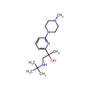 CN1CCN(c2cccc(C(C)(O)CNC(C)(C)C)n2)CC1